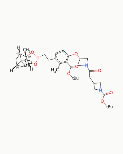 Cc1c(CCB2O[C@@H]3C[C@@H]4C[C@@H](C4(C)C)[C@]3(C)O2)ccc(OC2CN(C(=O)CC3CN(C(=O)OC(C)(C)C)C3)C2)c1C(=O)OC(C)(C)C